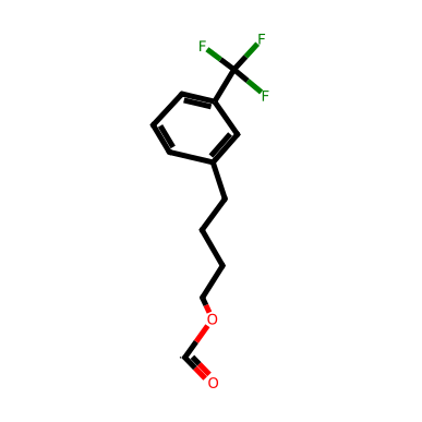 O=[C]OCCCCc1cccc(C(F)(F)F)c1